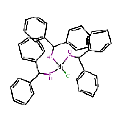 [Cl][Rh]([PH]C(c1ccccc1)c1ccccc1)([PH]C(c1ccccc1)c1ccccc1)[PH]C(c1ccccc1)c1ccccc1